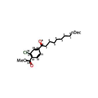 CCCCCCCCCCCCCCCCCC(=O)c1ccc(C(=O)OC)c(Cl)c1